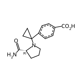 NC(=O)[C@H]1CCCN1C1(c2ccc(C(=O)O)cc2)CC1